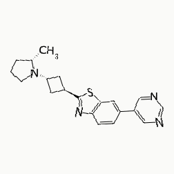 C[C@H]1CCCN1[C@H]1C[C@H](c2nc3ccc(-c4cncnc4)cc3s2)C1